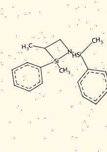 CC1CN([SiH](C)c2ccccc2)[Si]1(C)c1ccccc1